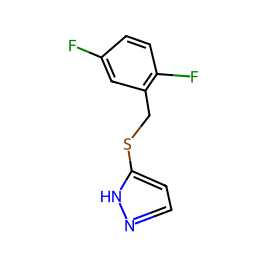 Fc1ccc(F)c(CSc2ccn[nH]2)c1